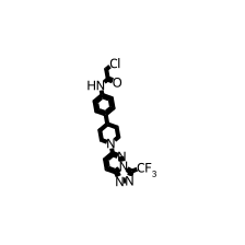 O=C(CCl)Nc1ccc(C2CCN(c3ccc4nnc(C(F)(F)F)n4n3)CC2)cc1